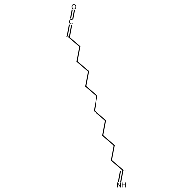 N=[C]CCCCCCCCCC[C]=C=O